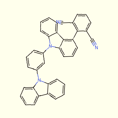 N#Cc1cccc(C#N)c1-c1cccc2c1c1ccccc1n2-c1cccc(-n2c3ccccc3c3ccccc32)c1